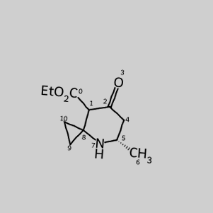 CCOC(=O)C1C(=O)C[C@H](C)NC12CC2